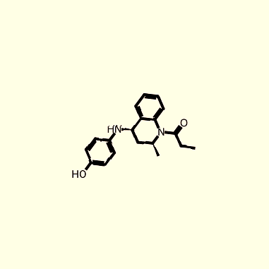 CCC(=O)N1c2ccccc2[C@H](Nc2ccc(O)cc2)C[C@@H]1C